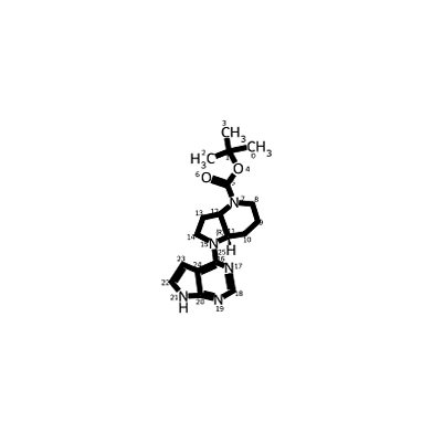 CC(C)(C)OC(=O)N1CCC[C@@H]2C1CCN2c1ncnc2[nH]ccc12